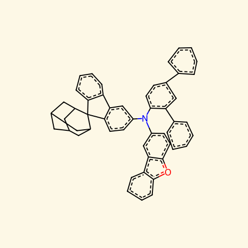 c1ccc(-c2ccc(N(c3ccc4c(c3)-c3ccccc3C43C4CC5CC(C4)CC3C5)c3ccc4oc5ccccc5c4c3)c(-c3ccccc3)c2)cc1